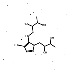 CC(O)C(O)CNc1c(N)cnn1CC(O)C(C)O